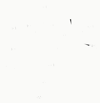 COc1cccc2c1C(=O)c1c(O)c3c(c(O)c1C2=O)CC(O)(C(=O)CO)C[C@@H]3O[C@H]1C[C@H](N)[C@@H](O)[C@H](C)O1.Cl